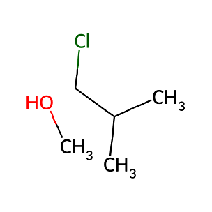 CC(C)CCl.CO